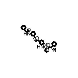 CN(C)C[C@@H](C(=O)N1CCC[C@H]1c1nc2ccc(-c3cnc(-c4cccc(NC(=O)Cc5ccccc5)c4)o3)cc2[nH]1)c1ccccc1